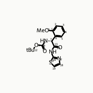 COc1ccccc1[C@@H](NC(=O)OC(C)(C)C)C(=O)Nc1nccs1